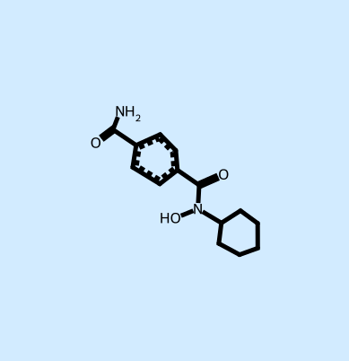 NC(=O)c1ccc(C(=O)N(O)C2CCCCC2)cc1